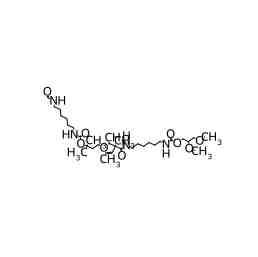 CC=CC(C)(C(=O)NCCCCCCNC(=O)OCC(COC)OC)C(C)OCCC(C)(C)OC(=O)NCCCCCCNC=O